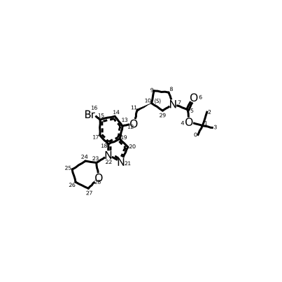 CC(C)(C)OC(=O)N1CC[C@H](COc2cc(Br)cc3c2cnn3C2CCCCO2)C1